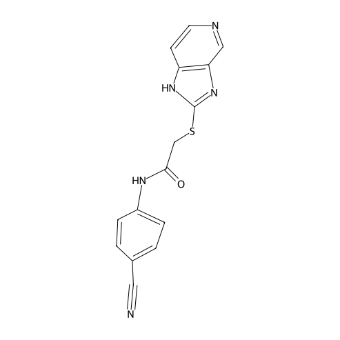 N#Cc1ccc(NC(=O)CSc2nc3cnccc3[nH]2)cc1